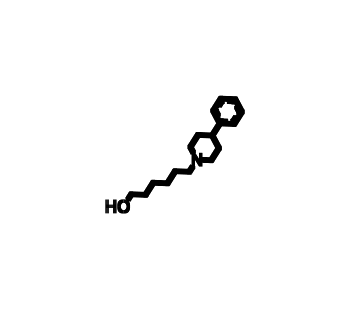 OCCCCCCN1CCC(c2ccccc2)CC1